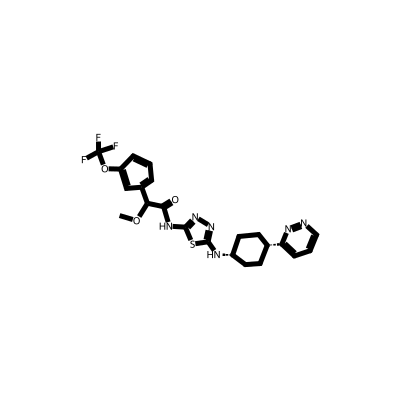 COC(C(=O)Nc1nnc(N[C@H]2CC[C@@H](c3cccnn3)CC2)s1)c1cccc(OC(F)(F)F)c1